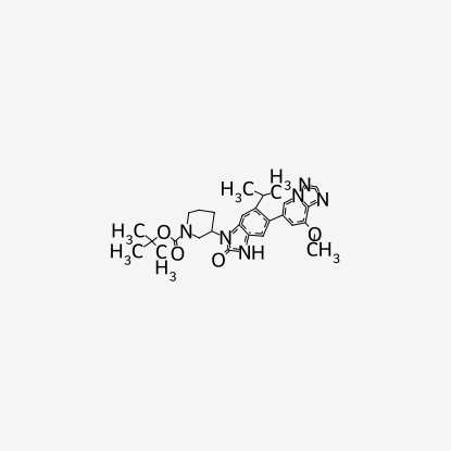 COc1cc(-c2cc3[nH]c(=O)n(C4CCCN(C(=O)OC(C)(C)C)C4)c3cc2C(C)C)cn2ncnc12